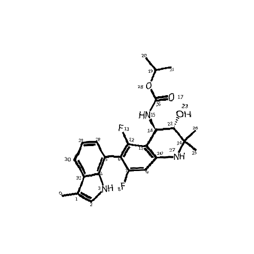 Cc1c[nH]c2c(-c3c(F)cc4c(c3F)[C@@H](NC(=O)OC(C)C)[C@H](O)C(C)(C)N4)cccc12